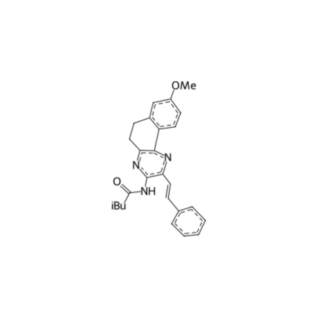 CCC(C)C(=O)Nc1nc2c(nc1/C=C/c1ccccc1)-c1ccc(OC)cc1CC2